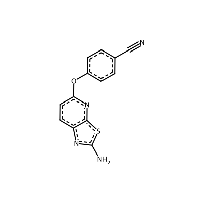 N#Cc1ccc(Oc2ccc3nc(N)sc3n2)cc1